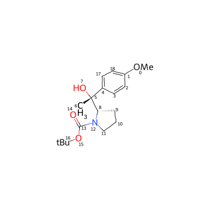 COc1ccc([C@@](C)(O)[C@@H]2CCCN2C(=O)OC(C)(C)C)cc1